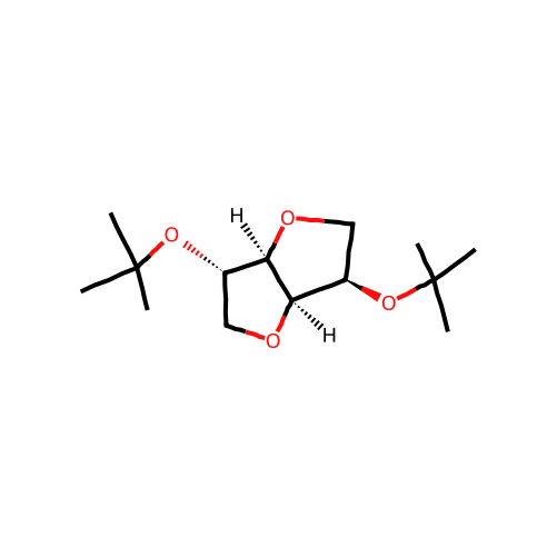 CC(C)(C)O[C@H]1CO[C@H]2[C@@H]1OC[C@H]2OC(C)(C)C